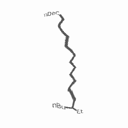 CCCCCCCCCCCCCCCCCCCCCC(CC)CCCC